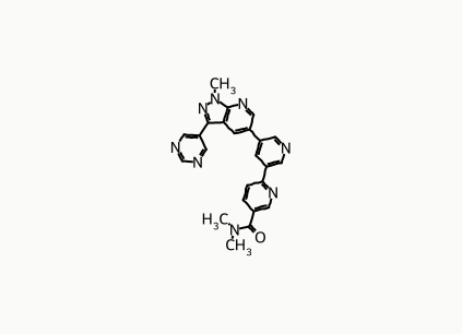 CN(C)C(=O)c1ccc(-c2cncc(-c3cnc4c(c3)c(-c3cncnc3)nn4C)c2)nc1